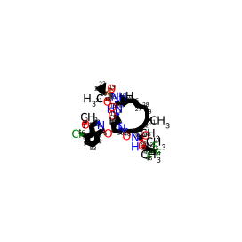 COc1cnc(O[C@@H]2C[C@H]3C(=O)N[C@]4(C(=O)NS(=O)(=O)C5(C)CC5)C[C@H]4/C=C/CC[C@@H](C)C[C@@H](C)[C@H](NC(=O)OC(C)(C)C(F)(F)F)C(=O)N3C2)c2cccc(Cl)c12